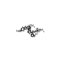 CNCC(CC1CCC(O)CC1)NC(=O)N1CCCC(C(OCCNC(=O)OC)c2cccc(F)c2)C1